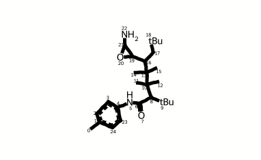 Cc1ccc(NC(=O)C(C(C)(C)C)C(C)(C)C(C)(C)C(CC(C)(C)C)C2OC2N)cc1